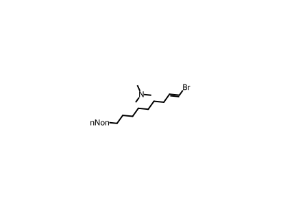 CCCCCCCCCCCCCCCC/C=C/Br.CN(C)C